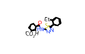 CCc1ccccc1-c1nnc(NC(=O)C2CC=CCC2C(=O)O)s1